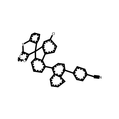 N#Cc1ccc(-c2ccc(-c3cccc4c3-c3ccc(Cl)cc3C43c4ccccc4Sc4ccccc43)c3ccccc23)cc1